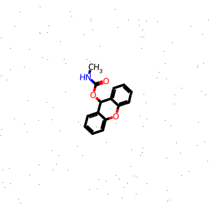 CNC(=O)OC1c2ccccc2Oc2ccccc21